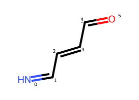 N=CC=C[C]=O